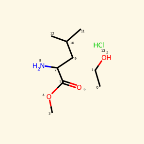 CCO.COC(=O)C(N)CC(C)C.Cl